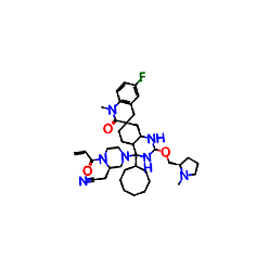 C=CC(=O)N1CCN(C2(C3CCCCCCC3)NC(OC[C@H]3CCCN3C)NC3C[C@]4(CCC32)Cc2cc(F)ccc2N(C)C4=O)C[C@H]1CC#N